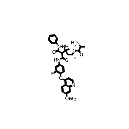 COc1ccc2c(Oc3ccc(NC(=O)C4C(=O)N(c5ccccc5)NC4(C)C[C@@H](C)OC(=O)C(C)N)cc3F)ccnc2c1